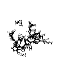 Cl.Cl.Oc1ccc2c3c1O[C@H]1c4[nH]c5c(c4C[C@@]4(O)[C@@H](C2)N(CC2CC2)CC[C@]314)C[C@@]1(O)[C@H]2Cc3ccc(O)c4c3[C@@]1(CCN2CC1CC1)[C@H]5O4